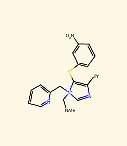 CNC[N+]1(Cc2ccccn2)C=NC(C(C)C)=C1Sc1cccc([N+](=O)[O-])c1